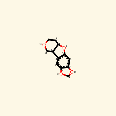 c1c2c(cc3c1OC1CCOCC31)OCO2